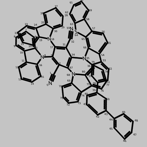 N#Cc1c(-n2c3ccccc3c3ccccc32)c(-n2c3ccccc3c3ccccc32)c(C#N)c(-n2c3cc(-c4cccc(-c5ccccc5)c4)ccc3c3ccc4c5ccccc5sc4c32)c1-n1c2ccccc2c2ccccc21